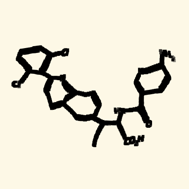 CC(c1ccc2nc(-c3c(Cl)cccc3Cl)ccc2c1)C(NC(=O)c1ccc(N)nc1)C(=O)O